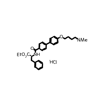 CCOC(=O)[C@H](Cc1ccccc1)NC(=O)c1ccc(-c2ccc(OCCCCNC)cc2)cc1.Cl